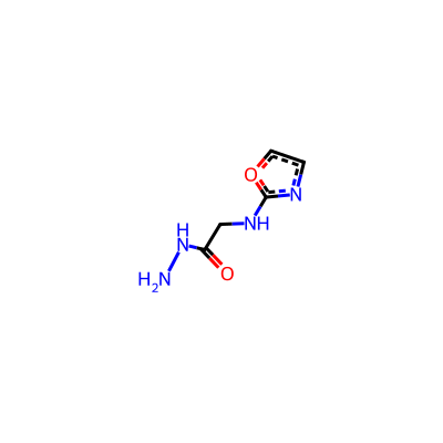 NNC(=O)CNc1ncco1